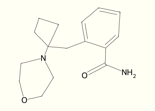 NC(=O)c1ccccc1CC1(N2CCOCC2)CCC1